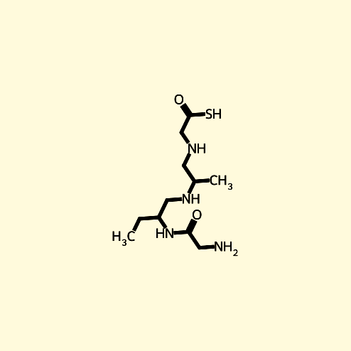 CCC(CNC(C)CNCC(=O)S)NC(=O)CN